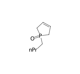 CCCCP1(=O)CC=CC1